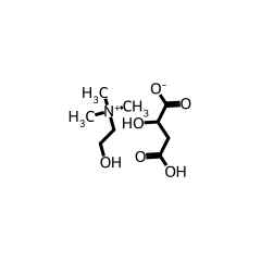 C[N+](C)(C)CCO.O=C(O)CC(O)C(=O)[O-]